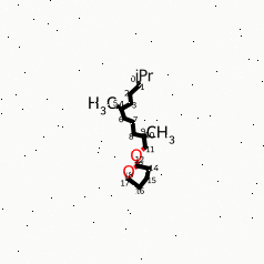 CC(C)CCCC(C)CCCC(C)COC1CCCCO1